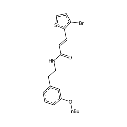 CCCCOc1cccc(CCNC(=O)/C=C/c2sccc2Br)c1